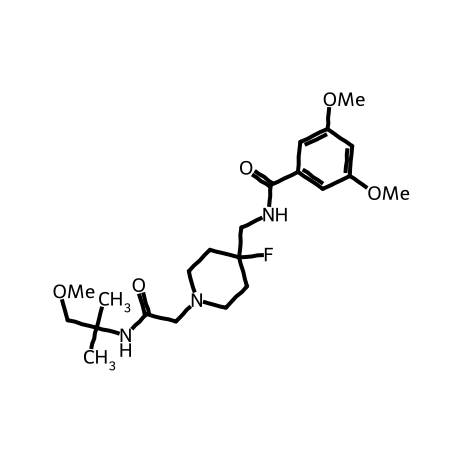 COCC(C)(C)NC(=O)CN1CCC(F)(CNC(=O)c2cc(OC)cc(OC)c2)CC1